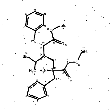 CC([C@H](C[C@@](N)(Cc1ccccc1)C(=O)OO[SiH3])[C@H](Cc1ccccc1)C(=O)OC(C)(C)C)C(C)(C)C